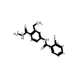 CCc1cc(NC(=O)c2ccccc2F)ccc1C(=O)NN